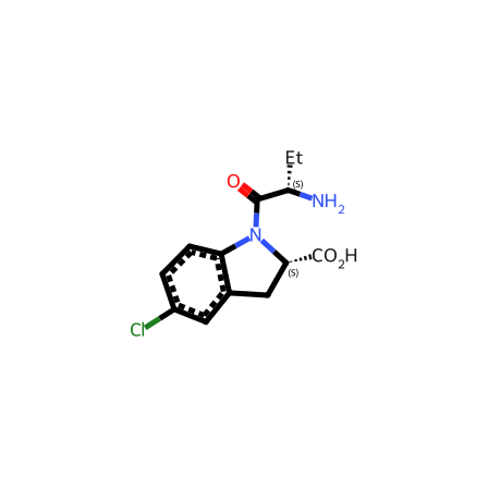 CC[C@H](N)C(=O)N1c2ccc(Cl)cc2C[C@H]1C(=O)O